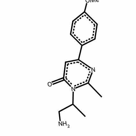 COc1ccc(-c2cc(=O)n(C(C)CN)c(C)n2)cc1